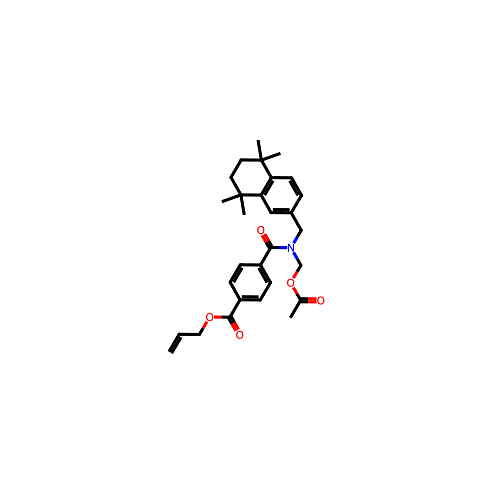 C=CCOC(=O)c1ccc(C(=O)N(COC(C)=O)Cc2ccc3c(c2)C(C)(C)CCC3(C)C)cc1